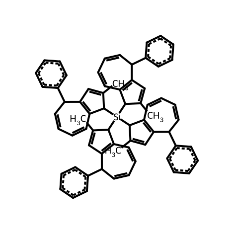 CC1=CC2=C(C=CC=CC2c2ccccc2)C1[Si](C1C(C)=CC2=C1C=CC=CC2c1ccccc1)(C1C(C)=CC2=C1C=CC=CC2c1ccccc1)C1C(C)=CC2=C1C=CC=CC2c1ccccc1